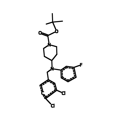 CC(C)(C)OC(=O)N1CCC(N(Cc2ccc(Cl)c(Cl)c2)c2cccc(F)c2)CC1